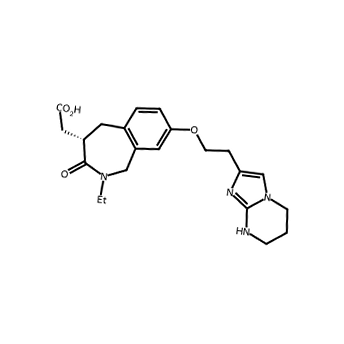 CCN1Cc2cc(OCCc3cn4c(n3)NCCC4)ccc2C[C@@H](CC(=O)O)C1=O